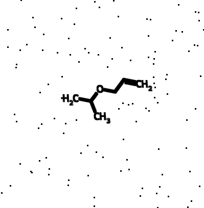 [CH2]C(C)OCC=C